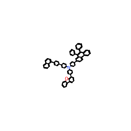 c1ccc(-c2c(-c3ccccc3)c3cc(-c4ccc(N(c5ccc(-c6ccc(-c7cccc8ccccc78)cc6)cc5)c5ccc(-c6cccc7c6oc6ccccc67)cc5)cc4)ccc3c3ccccc23)cc1